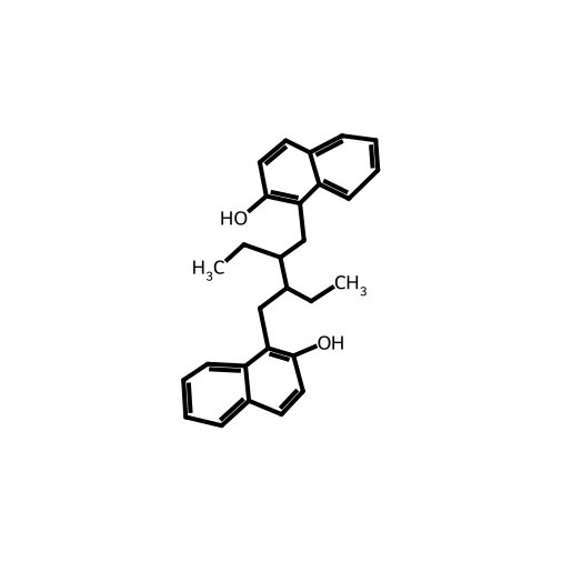 CCC(Cc1c(O)ccc2ccccc12)C(CC)Cc1c(O)ccc2ccccc12